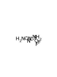 Nc1ccc2c(c1)nc1n2C[C@H](N)C(c2cc(F)c(F)cc2F)C1